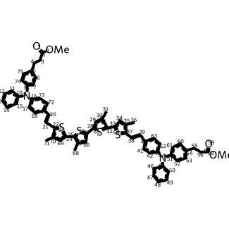 COC(=O)CCc1ccc(N(c2ccccc2)c2ccc(/C=C/c3sc(-c4sc(-c5cc(C)c(-c6cc(C)c(/C=C/c7ccc(N(c8ccccc8)c8ccc(CCC(=O)OC)cc8)cc7)s6)s5)cc4C)cc3C)cc2)cc1